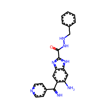 N=C(c1ccncc1)c1cc2nc(C(=O)NNCc3ccccc3)[nH]c2cc1N